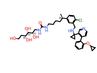 C[C@H](CCCCNC(=O)NC[C@H](O)[C@@H](O)[C@H](O)CCO)c1ccc(Cl)c(CNC2(c3cnccc3-c3ccccc3OC3CC3)CC2)c1